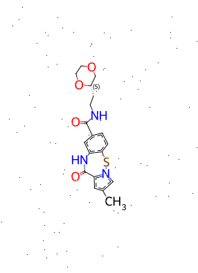 Cc1cc2n(c1)Sc1ccc(C(=O)NCC[C@H]3COCCO3)cc1NC2=O